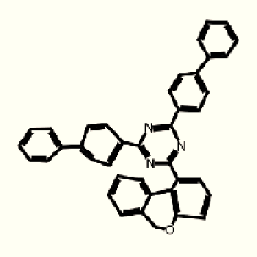 c1ccc(-c2ccc(-c3nc(-c4ccc(-c5ccccc5)cc4)nc(-c4cccc5c4-c4ccccc4CO5)n3)cc2)cc1